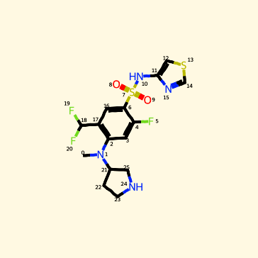 CN(c1cc(F)c(S(=O)(=O)Nc2cscn2)cc1C(F)F)C1CCNC1